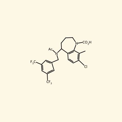 CC(=O)N(Cc1cc(C(F)(F)F)cc(C(F)(F)F)c1)C1CCCN(C(=O)O)c2c1ccc(Cl)c2C